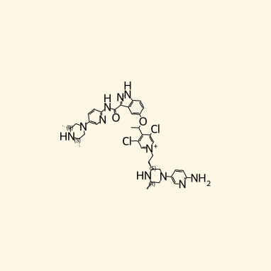 CC(Oc1ccc2[nH]nc(C(=O)Nc3ccc(N4C[C@@H](C)N[C@@H](C)C4)cn3)c2c1)c1c(Cl)c[n+](CC[C@H]2CN(c3ccc(N)nc3)C[C@@H](C)N2)cc1Cl